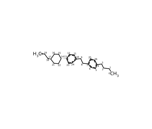 CCCCc1ccc(CCc2ccc([C@H]3CC[C@H](CCC)CC3)cc2)cc1